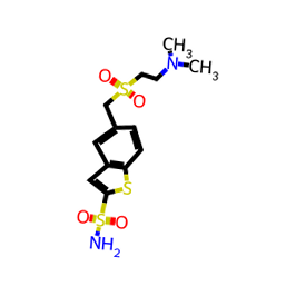 CN(C)CCS(=O)(=O)Cc1ccc2sc(S(N)(=O)=O)cc2c1